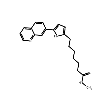 CNC(=O)CCCCCCc1ncc(-c2ccc3cccnc3c2)[nH]1